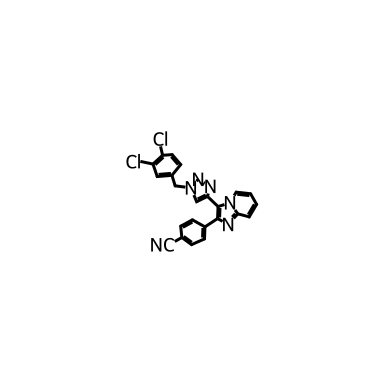 N#Cc1ccc(-c2nc3ccccn3c2-c2cn(Cc3ccc(Cl)c(Cl)c3)nn2)cc1